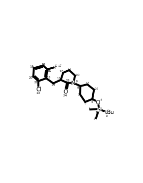 CC(C)(C)[Si](C)(C)OC1CCC(N2CCCC(Cc3c(F)cccc3Cl)C2=O)CC1